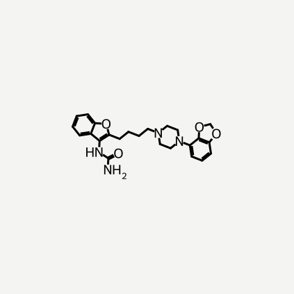 NC(=O)Nc1c(CCCCN2CCN(c3cccc4c3OCO4)CC2)oc2ccccc12